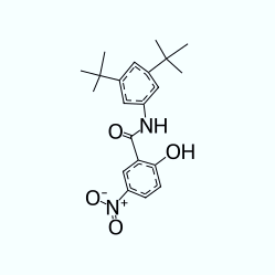 CC(C)(C)c1cc(NC(=O)c2cc([N+](=O)[O-])ccc2O)cc(C(C)(C)C)c1